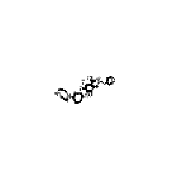 CN1CCN([C@H]2CC[C@@H](Nc3cc4nc(CSC5CCOCC5)[nH]c(=O)c4c(F)c3F)CC2)CC1